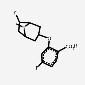 CN1C2CC(Oc3cc(F)ccc3C(=O)O)CC1C(F)C2